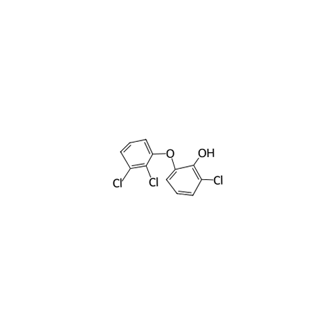 Oc1c(Cl)cccc1Oc1cccc(Cl)c1Cl